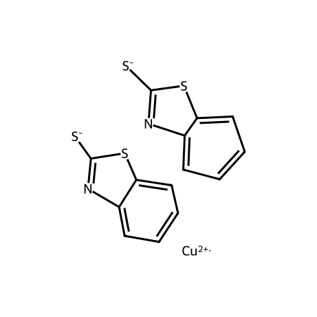 [Cu+2].[S-]c1nc2ccccc2s1.[S-]c1nc2ccccc2s1